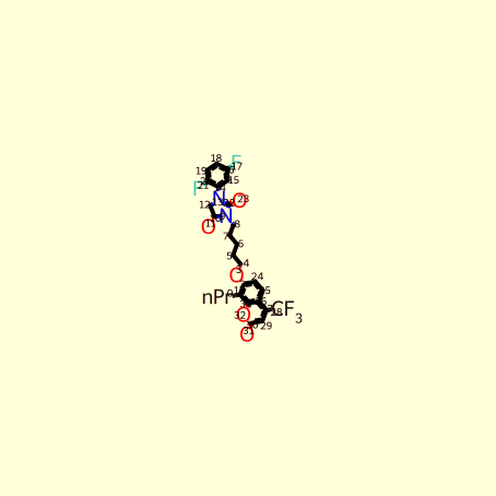 CCCc1c(OCCCCCN2C(=O)CN(c3cc(F)ccc3F)C2=O)ccc2c(C(F)(F)F)cc(=O)oc12